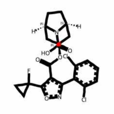 O=C(O[C@H]1C[C@H]2CC[C@@H](C1)N2C(=O)O)c1c(-c2c(Cl)cccc2Cl)noc1C1(F)CC1